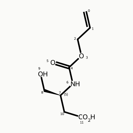 C=CCOC(=O)N[C@H](CO)CC(=O)O